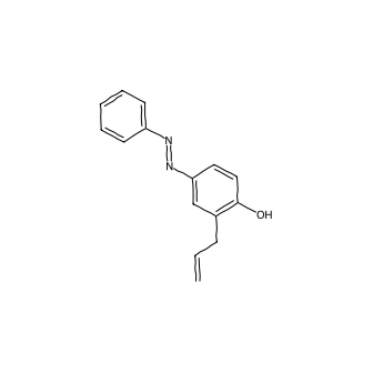 C=CCc1cc(N=Nc2ccccc2)ccc1O